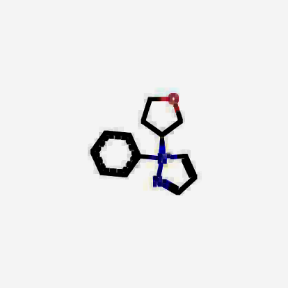 C1=C[N+](c2ccccc2)([C@H]2CCOC2)N=C1